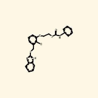 O=C(Nc1ccccc1)OCCOc1cccc(CSc2nc3ccccc3[nH]2)c1Cl